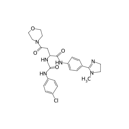 CN1CCN=C1c1ccc(NC(=O)C(CC(=O)N2CCOCC2)NC(=O)Nc2ccc(Cl)cc2)cc1